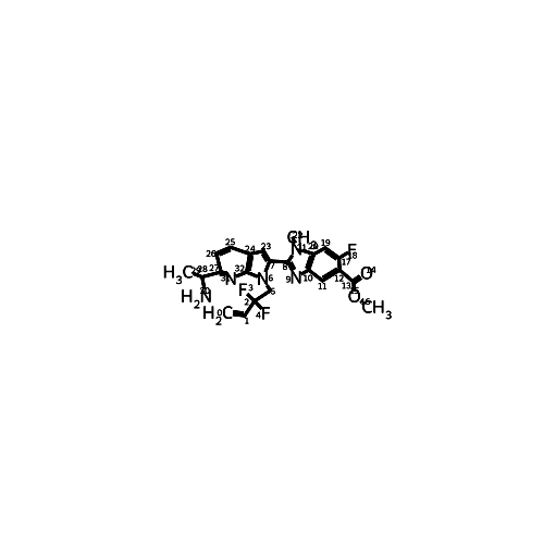 C=CC(F)(F)Cn1c(-c2nc3cc(C(=O)OC)c(F)cc3n2C)cc2ccc(C(C)N)nc21